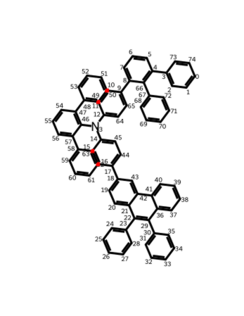 c1ccc(-c2cccc(-c3ccc(N(c4ccc(-c5ccc6c(-c7ccccc7)c(-c7ccccc7)c7ccccc7c6c5)cc4)c4c(-c5ccccc5)cccc4-c4ccccc4)cc3)c2-c2ccccc2)cc1